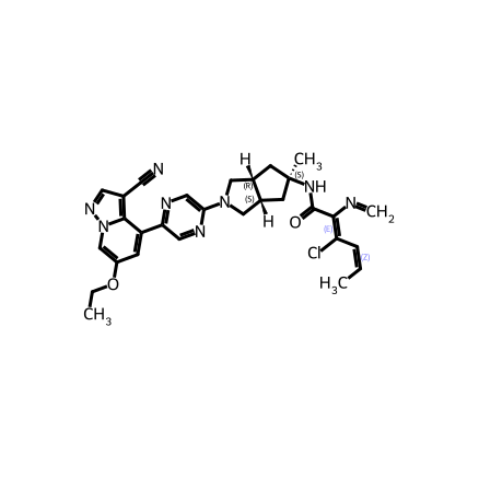 C=N/C(C(=O)N[C@]1(C)C[C@H]2CN(c3cnc(-c4cc(OCC)cn5ncc(C#N)c45)cn3)C[C@H]2C1)=C(Cl)\C=C/C